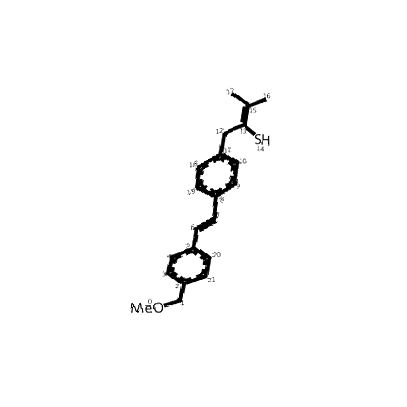 COCc1ccc(C=Cc2ccc(CC(S)=C(C)C)cc2)cc1